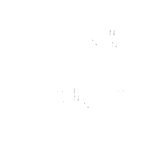 Cc1ccc(S(=O)(=O)N/N=C2/CCOc3cc(-c4nnc5n4CCCCC5)ccc32)cc1